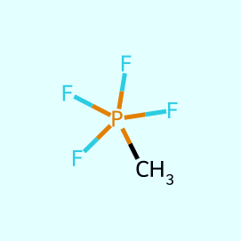 CP(F)(F)(F)F